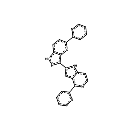 c1ccc(-c2ccc3[nH]nc(-c4cc5c(-c6ccccn6)nccc5[nH]4)c3n2)nc1